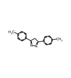 Cc1ccc(C2=NN=C(c3ccc(C)cc3)C2)cc1